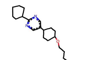 CCCCOC1CCC(c2cnc(C3CCCCC3)nc2)CC1